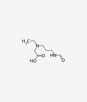 CCN(CCCNC=O)CC(=O)O